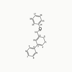 [CH]1CC=C(c2ccccc2)C=C1COc1ccccc1